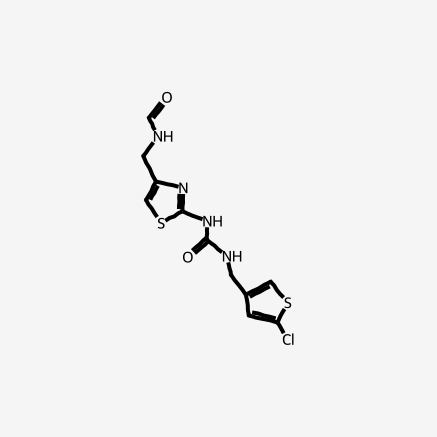 O=CNCc1csc(NC(=O)NCc2csc(Cl)c2)n1